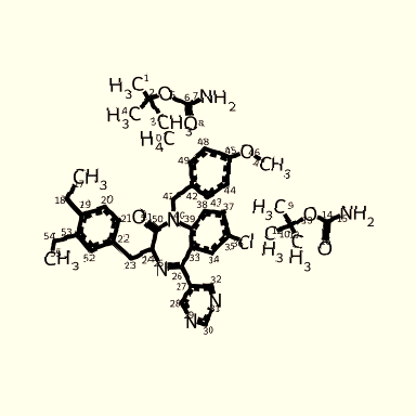 C.CC(C)(C)OC(N)=O.CC(C)(C)OC(N)=O.CCc1ccc(CC2N=C(c3cncnc3)c3cc(Cl)ccc3N(Cc3ccc(OC)cc3)C2=O)cc1CC